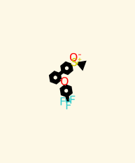 [O-][S+](c1ccc(-c2ccccc2Oc2ccc(C(F)(F)F)cc2)cc1)C1CC1